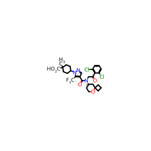 CC1(C(=O)O)CCC(n2ncc(C(=O)N(CC(=O)c3c(Cl)cccc3Cl)[C@H]3CCOC4(CCC4)C3)c2C(F)(F)F)CC1